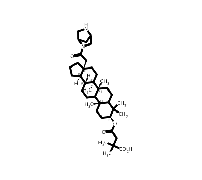 CC(C)(CC(=O)O[C@H]1CC[C@@]2(C)C(CC[C@]3(C)C2CC[C@@H]2[C@H]4CCC[C@]4(CC(=O)N4CC5CC4CN5)CC[C@]23C)C1(C)C)C(=O)O